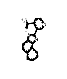 NC(=O)c1ccncc1-c1nc2c(ccc3ccccc32)s1